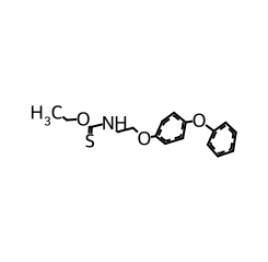 CCOC(=S)NCCOc1ccc(Oc2ccccc2)cc1